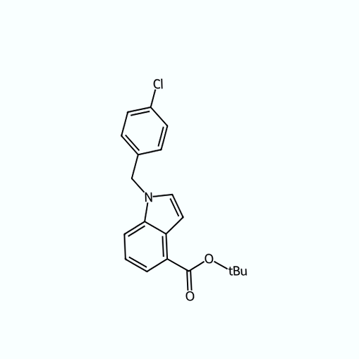 CC(C)(C)OC(=O)c1cccc2c1ccn2Cc1ccc(Cl)cc1